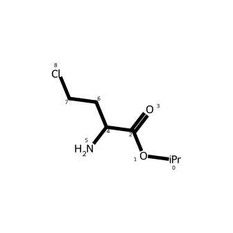 CC(C)OC(=O)C(N)CCCl